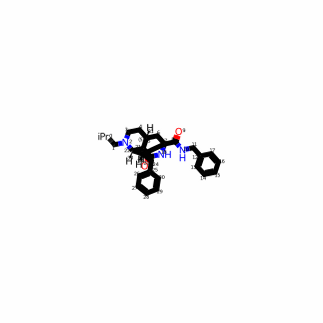 CC(C)CN1CC[C@H]2CC3(C(=O)NCc4ccccc4)NC(=O)[C@H]2[C@H]1[C@H]3Cc1ccccc1